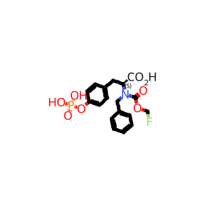 O=C(O)[C@H](Cc1ccc(OP(=O)(O)O)cc1)N(Cc1ccccc1)C(=O)OCF